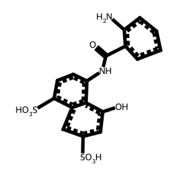 Nc1ccccc1C(=O)Nc1ccc(S(=O)(=O)O)c2cc(S(=O)(=O)O)cc(O)c12